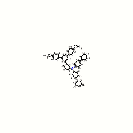 Cc1ccc(-c2cc(-c3ccc(C)cc3)cc(-c3cccc(N(c4ccc(-c5ccccc5)cc4)c4ccc(-c5ccccc5)cc4)c3)c2)cc1